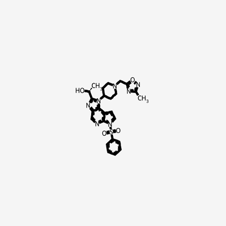 Cc1noc(CN2CCC(n3c([C@@H](C)O)nc4cnc5c(ccn5S(=O)(=O)c5ccccc5)c43)CC2)n1